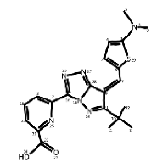 CN(C)c1ccc(/C=c2/c(C(C)(C)C)nn3c(-c4cccc(C(=O)O)n4)nnc23)s1